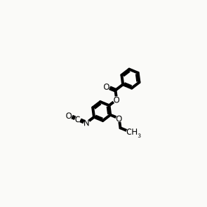 CCOc1cc(N=C=O)ccc1OC(=O)c1ccccc1